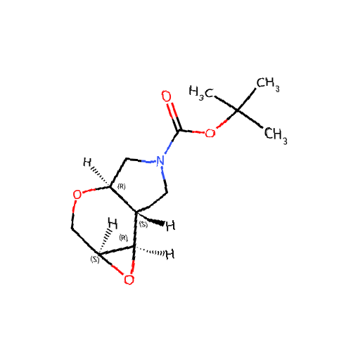 CC(C)(C)OC(=O)N1C[C@@H]2[C@H]3O[C@H]3CO[C@H]2C1